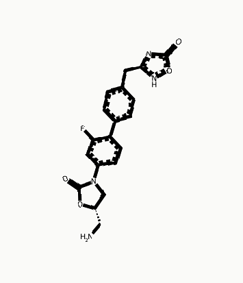 NC[C@H]1CN(c2ccc(-c3ccc(Cc4nc(=O)o[nH]4)cc3)c(F)c2)C(=O)O1